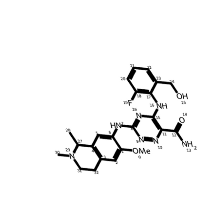 COc1cc2c(cc1Nc1nnc(C(N)=O)c(Nc3c(F)cccc3CO)n1)C(C)N(C)CC2